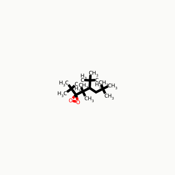 CC(C)(C)CC(C(C)(C)C)C(C)(C)C1(C(C)(C)C)OO1